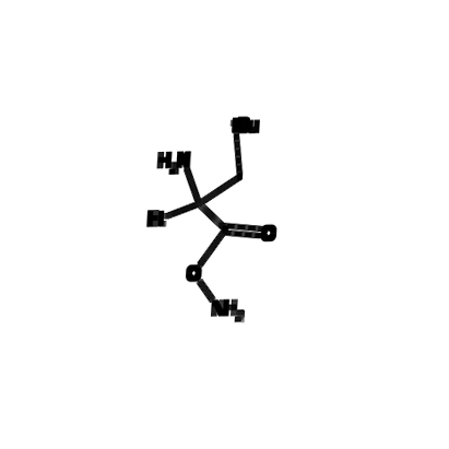 CCC(N)(CC(C)(C)C)C(=O)ON